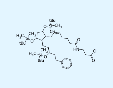 CC(C)(C)[Si](C)(C)OC1CC(O[Si](C)(C)C(C)(C)C)[C@H](CC[C@@H](CCc2ccccc2)O[Si](C)(C)C(C)(C)C)[C@H]1C/C=C\CCCC(=O)NCCC(=O)Cl